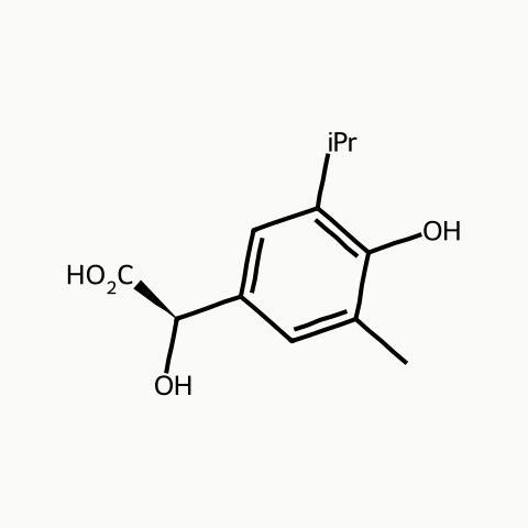 Cc1cc([C@@H](O)C(=O)O)cc(C(C)C)c1O